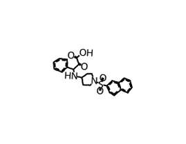 O=C(O)C(=O)C(NC1CCN(S(=O)(=O)c2ccc3ccccc3c2)CC1)c1ccccc1